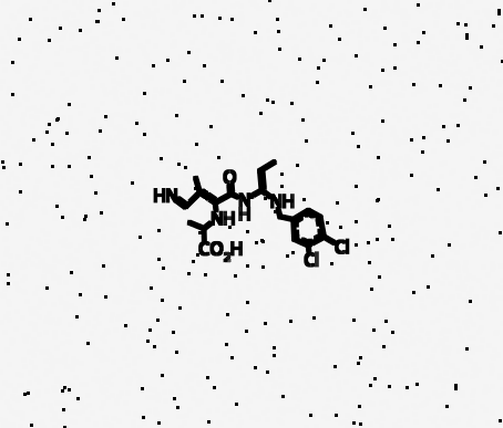 C/C=C(\NCc1ccc(Cl)c(Cl)c1)NC(=O)/C(NC(C)C(=O)O)=C(\C)C=N